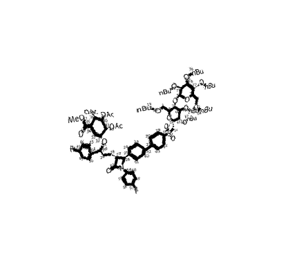 CCCCOCC1O[C@@H](O[C@@H]2C(COCCCC)O[C@@H](CS(=O)(=O)c3ccc(-c4ccc([C@@H]5[C@@H](CC[C@H](O[C@@H]6CC(C(=O)OC)[C@@H](OC(C)=O)C(OC(C)=O)[C@@H]6OC(C)=O)c6ccc(F)cc6)C(=O)N5c5ccc(F)cc5)cc4)cc3)[C@@H](OCCCC)C2OCCCC)[C@@H](OCCCC)C(OCCCC)[C@@H]1OCCCC